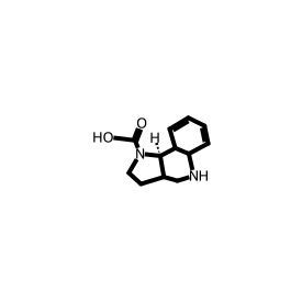 O=C(O)N1CCC2CNC3C=CC=CC3[C@@H]21